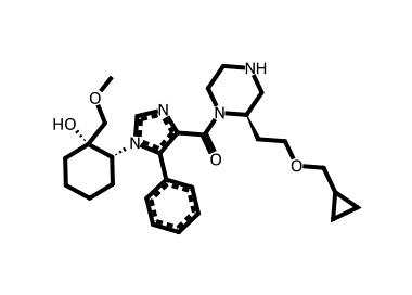 COC[C@]1(O)CCCC[C@H]1n1cnc(C(=O)N2CCNC[C@H]2CCOCC2CC2)c1-c1ccccc1